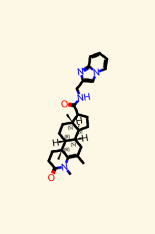 CC1=C2N(C)C(=O)CC[C@]2(C)[C@@H]2CC[C@]3(C)C(C(=O)NCc4cn5ccccc5n4)CC[C@H]3[C@@H]2C1